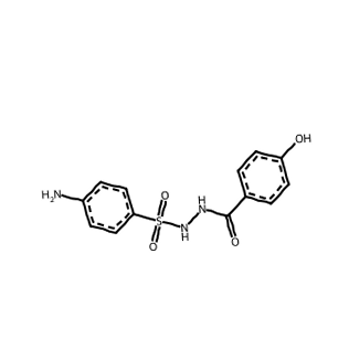 Nc1ccc(S(=O)(=O)NNC(=O)c2ccc(O)cc2)cc1